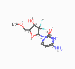 CCOCC1OC(n2ccc(N)nc2=O)C(F)(F)C1O